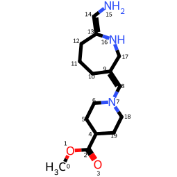 COC(=O)C1CCN(/C=C2\CCC/C(=C/N)NC2)CC1